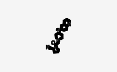 CN(c1ccc2ncccc2c1)C1CCN(CC(=O)N2CCCC2C#N)CC1